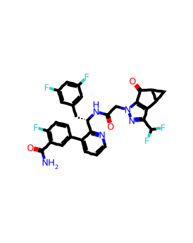 NC(=O)c1cc(-c2cccnc2[C@H](Cc2cc(F)cc(F)c2)NC(=O)Cn2nc(C(F)F)c3c2C(=O)C2CC32)ccc1F